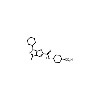 Cc1nn(C2CCCCC2)c2sc(C(=O)N[C@H]3CC[C@H](C(=O)O)CC3)cc12